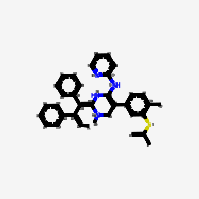 C=C(C)Sc1cc(C2=C(Nc3ccccn3)N/C(=C(/C(=C\C)c3ccccc3)c3ccccc3)N(C)C2)ccc1C